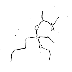 CCCC[Si](CC)(OCC)OC(C)NC